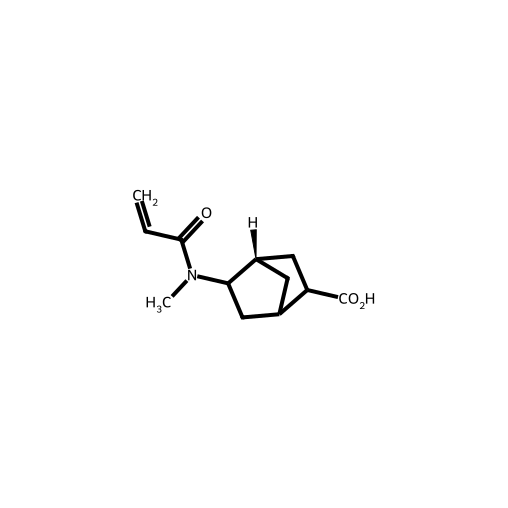 C=CC(=O)N(C)C1CC2C[C@H]1CC2C(=O)O